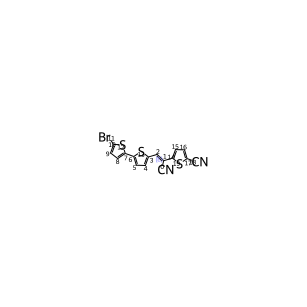 N#C/C(=C\c1ccc(-c2ccc(Br)s2)s1)c1ccc(C#N)s1